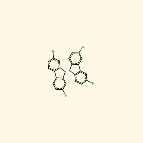 Brc1ccc2c(c1)-c1cc(Br)ccc1C2.Brc1ccc2c(c1)Cc1cc(Br)ccc1-2